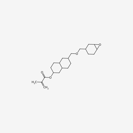 C=C(C)C(=O)OC1CCC2CC(COCC3CCC4OC4C3)CCC2C1